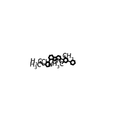 Cc1cc(-c2ccccc2)cc(C)c1-c1ccc2c(n1)oc1c(-c3cc(CC(C)(C)C)ccn3)cccc12